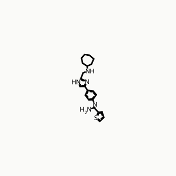 N/C(=N\c1ccc(-c2c[nH]c(CNC3CCCCCC3)n2)cc1)c1cccs1